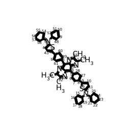 Cc1nc2c(-c3ccc(-c4ccc(N(c5ccccc5)c5ccccc5)s4)cc3)c3nc(C)c(C)nc3c(-c3ccc(-c4ccc(N(c5ccccc5)c5ccccc5)s4)cc3)c2nc1C